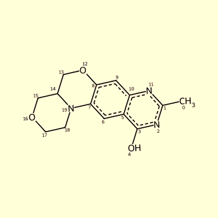 Cc1nc(O)c2cc3c(cc2n1)OCC1COCCN31